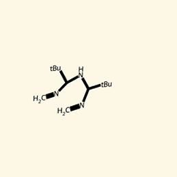 C=NC(NC(N=C)C(C)(C)C)C(C)(C)C